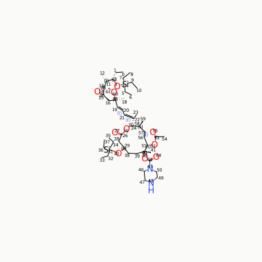 CC[C@H](O[Si](CC)(CC)CC)[C@@H](C)[C@H]1O[C@@H]1C[C@](C)(/C=C/C=C(\C)[C@H]1OC(=O)C[C@H](O[Si](CC)(CC)CC)CC[C@@](C)(OC(=O)N2CCNCC2)[C@@H](OC(C)=O)/C=C/[C@@H]1C)OC